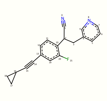 N#CC(Cc1cccnc1)c1ccc(C#CC2CC2)cc1F